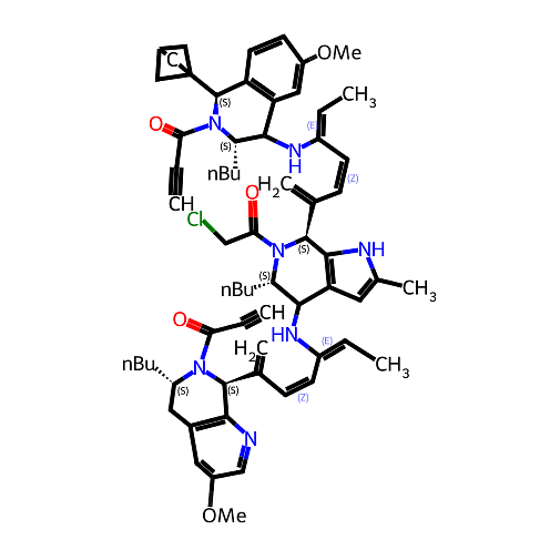 C#CC(=O)N1[C@@H](CCCC)Cc2cc(OC)cnc2[C@@H]1C(=C)/C=C\C(=C/C)NC1c2cc(C)[nH]c2[C@H](C(=C)/C=C\C(=C/C)NC2c3cc(OC)ccc3[C@H](C34CC(C3)C4)N(C(=O)C#C)[C@H]2CCCC)N(C(=O)CCl)[C@H]1CCCC